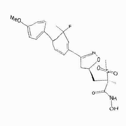 COc1ccc(C2C=CC(C3=NO[C@@H](C[C@](C)(C(=O)NO)S(C)(=O)=O)C3)=CC2(C)F)cc1